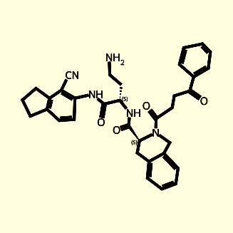 N#Cc1c(NC(=O)[C@H](CCN)NC(=O)[C@@H]2Cc3ccccc3CN2C(=O)CCC(=O)c2ccccc2)ccc2c1CCC2